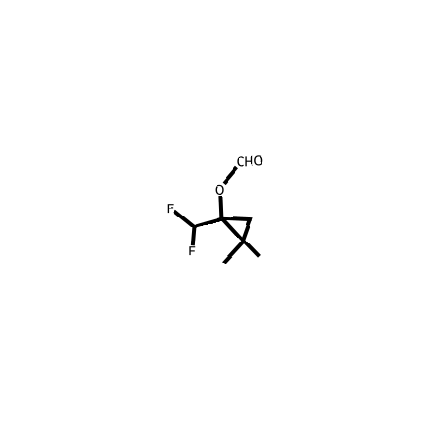 CC1(C)CC1(OC=O)C(F)F